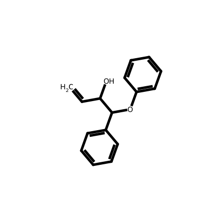 C=CC(O)C(Oc1ccccc1)c1ccccc1